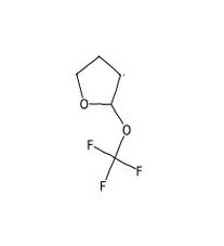 FC(F)(F)OC1[CH]CCO1